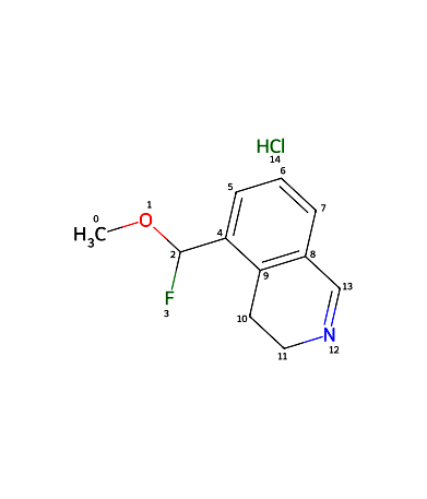 COC(F)c1cccc2c1CCN=C2.Cl